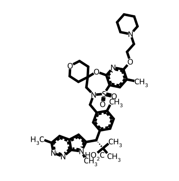 Cc1cc2cc([C@H](c3ccc(C)c(CN4CC5(CCOCC5)Oc5nc(OCCN6CCCCC6)c(C)cc5S4(=O)=O)c3)C(C)(C)C(=O)O)n(C)c2nn1